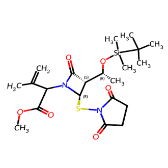 C=C(C)C(C(=O)OC)N1C(=O)[C@H]([C@@H](C)O[Si](C)(C)C(C)(C)C)[C@H]1SN1C(=O)CCC1=O